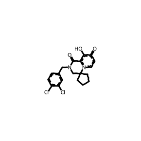 O=C1c2c(O)c(=O)ccn2C2(CCCC2)CN1Cc1ccc(Cl)c(Cl)c1